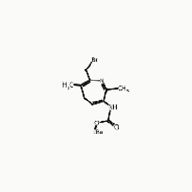 CC1=NC(CBr)=C(C)CC=C1NC(=O)OC(C)(C)C